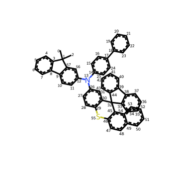 CC1(C)c2ccccc2-c2ccc(N(c3ccc(-c4ccccc4)cc3)c3ccc4c(c3)C3(c5ccccc5-c5ccccc53)c3c(ccc5ccccc35)S4)cc21